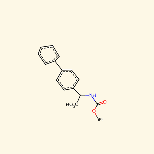 CC(C)OC(=O)NC(C(=O)O)c1ccc(-c2ccccc2)cc1